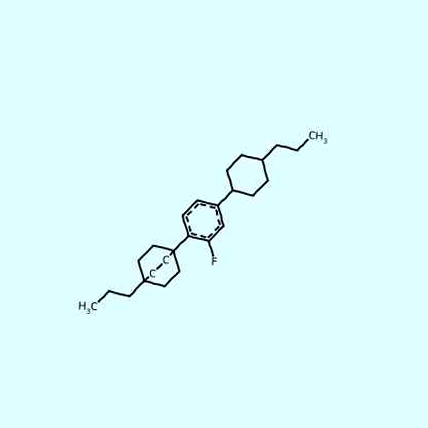 CCCC1CCC(c2ccc(C34CCC(CCC)(CC3)CC4)c(F)c2)CC1